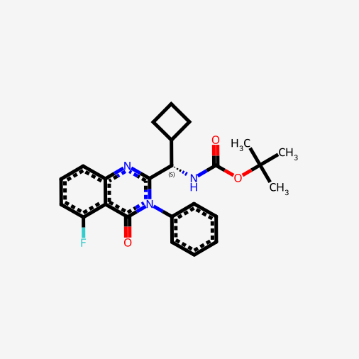 CC(C)(C)OC(=O)N[C@H](c1nc2cccc(F)c2c(=O)n1-c1ccccc1)C1CCC1